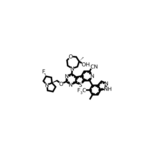 Cc1cc2[nH]ncc2c(-c2nc(C#N)cc3c2sc2nc(OC[C@@]45CCCN4C[C@H](F)C5)nc(N4CCOC[C@@](C)(O)C4)c23)c1C(F)(F)F